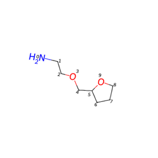 NCCOCC1CCCO1